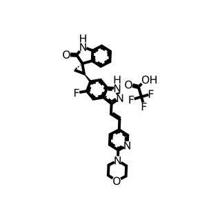 O=C(O)C(F)(F)F.O=C1Nc2ccccc2[C@]12C[C@@H]2c1cc2[nH]nc(/C=C/c3ccc(N4CCOCC4)nc3)c2cc1F